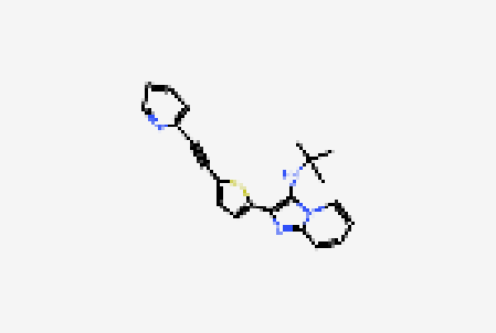 CC(C)(C)Nc1c(-c2ccc(C#Cc3ccccn3)s2)nc2ccccn12